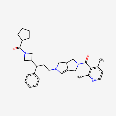 Cc1ccnc(C)c1C(=O)N1CC2=CN(CCC(c3ccccc3)C3CN(C(=O)C4CCCC4)C3)CC2C1